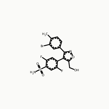 Cc1ccc(-c2noc(CO)c2-c2cc(F)c(S(N)(=O)=O)cc2F)cc1Br